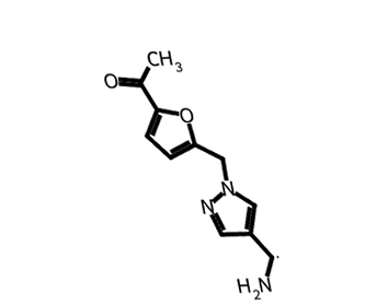 CC(=O)c1ccc(Cn2cc([CH]N)cn2)o1